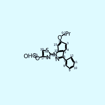 CC(C)Oc1ccc2c(-c3ccccc3)nn(-c3nc(OC=O)cs3)c2c1